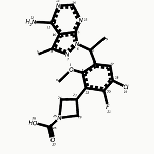 COc1c(C(C)n2nc(C)c3c(N)ncnc32)cc(Cl)c(F)c1C1CN(C(=O)O)C1